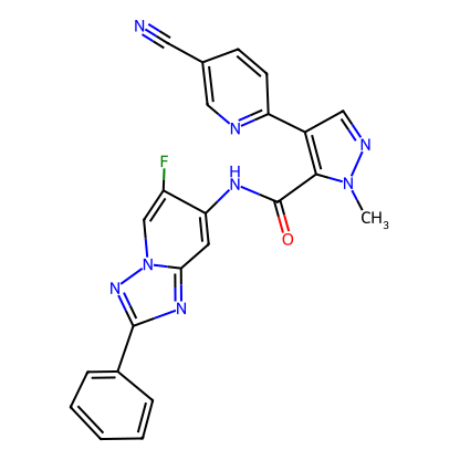 Cn1ncc(-c2ccc(C#N)cn2)c1C(=O)Nc1cc2nc(-c3ccccc3)nn2cc1F